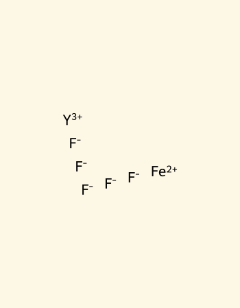 [F-].[F-].[F-].[F-].[F-].[Fe+2].[Y+3]